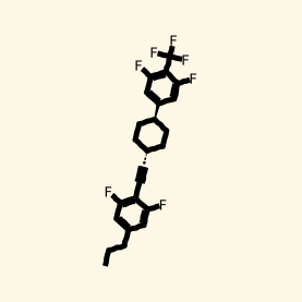 CCCc1cc(F)c(C#C[C@H]2CC[C@H](c3cc(F)c(C(F)(F)F)c(F)c3)CC2)c(F)c1